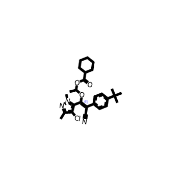 Cc1nn(C)c(/C(OC(C)OC(=O)C2CCCCC2)=C(\C#N)c2ccc(C(C)(C)C)cc2)c1Cl